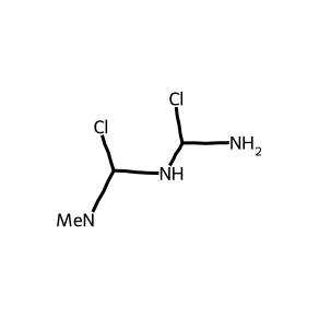 CNC(Cl)NC(N)Cl